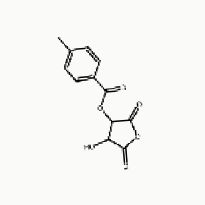 Cc1ccc(C(=O)OC2C(=O)OC(=O)C2O)cc1